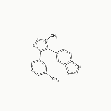 Cc1cccc(-c2ncn(C)c2-c2ccc3ncsc3c2)c1